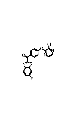 O=C(c1ccc(Oc2nccnc2Cl)cc1)c1nc2ccc(F)cc2s1